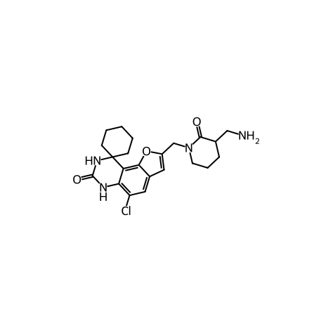 NCC1CCCN(Cc2cc3cc(Cl)c4c(c3o2)C2(CCCCC2)NC(=O)N4)C1=O